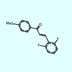 CSc1ccc(C(=O)/C=C/c2c(F)cccc2F)cc1